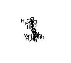 CCOc1nc(C(N)=O)c(OC)c(N2CCC(NC(=O)c3[nH]c(C)c(Cl)c3Cl)CC2)n1